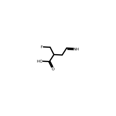 N=CCC(CF)C(=O)O